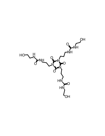 O=C(NCCO)NCCCn1c(=O)n(CCCNC(=O)NCCO)c(=O)n(CCCNC(=O)NCCO)c1=O